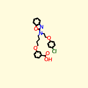 O=C(O)c1cccc(OCCCCN(CCOc2ccc(Cl)cc2)c2nc3ccccc3o2)c1